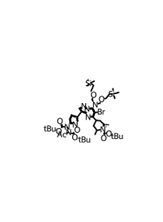 CC(=O)N(C(=O)OC(C)(C)C)N(C(=O)OC(C)(C)C)c1ccc(-c2cnn3c(N(COCC[Si](C)(C)C)COCC[Si](C)(C)C)c(Br)c(C4CC(C)N(C(=O)OC(C)(C)C)[C@H](C)C4)nc23)cn1